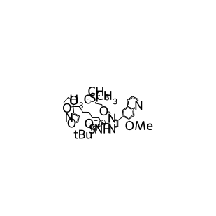 COc1cc2ncccc2cc1-c1cnc([C@H](CCCCCC2(c3ccon3)OCCO2)N[S@+]([O-])C(C)(C)C)n1COCC[Si](C)(C)C